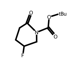 CC(C)(C)OC(=O)N1CC(F)CCC1=O